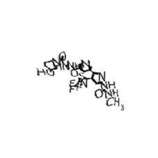 CCNC(=O)Nc1cc(-c2nc(C(F)(F)F)cs2)c(-c2cncc(C(=O)NNC(=O)N3CCCC(O)C3)c2)cn1